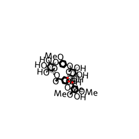 COc1cc(C(=O)OC[C@H]2O[C@@H](Oc3ccc(O[C@@H]4O[C@H](COC(=O)c5cc(OC)c(O)c(OC)c5)[C@@H](O)[C@H](O)[C@H]4O)cc3OC)[C@H](O)[C@@H](O)[C@@H]2O)ccc1O